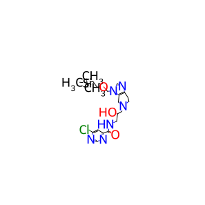 C[Si](C)(C)CCOCn1cnc2c1CN(C[C@@H](O)CNC(=O)c1cc(Cl)ncn1)CC2